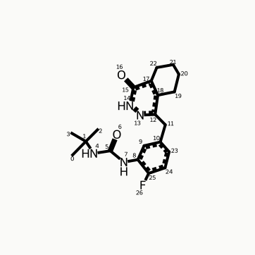 CC(C)(C)NC(=O)Nc1cc(Cc2n[nH]c(=O)c3c2CCCC3)ccc1F